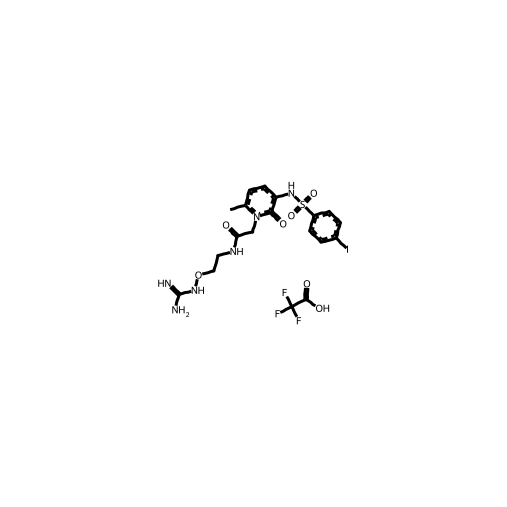 Cc1ccc(NS(=O)(=O)c2ccc(I)cc2)c(=O)n1CC(=O)NCCONC(=N)N.O=C(O)C(F)(F)F